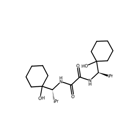 CC(C)[C@@H](NC(=O)C(=O)N[C@H](C(C)C)C1(O)CCCCC1)C1(O)CCCCC1